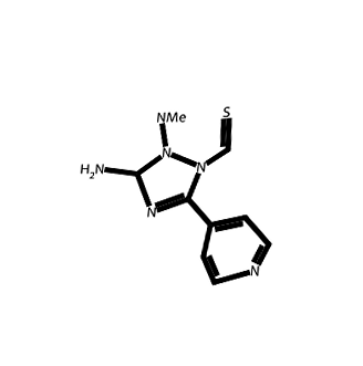 CNN1C(N)N=C(c2ccncc2)N1C=S